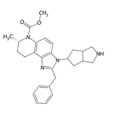 COC(=O)N1c2ccc3c(nc(Cc4ccccc4)n3C3CC4CNCC4C3)c2CC[C@@H]1C